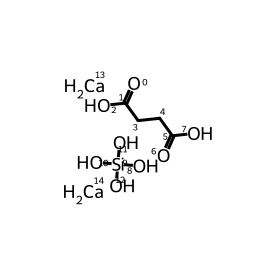 O=C(O)CCC(=O)O.O[Si](O)(O)O.[CaH2].[CaH2]